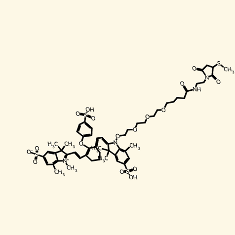 CSC1CC(=O)N(CCNC(=O)CCCCOCCOCCOCCON2/C(=C/C=C3\CCCC(/C=C/C4=[N+](C)c5c(C)cc(S(=O)(=O)[O-])cc5C4(C)C)=C3Oc3ccc(S(=O)(=O)O)cc3)C(C)(C)c3cc(S(=O)(=O)O)cc(C)c32)C1=O